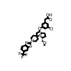 COC[C@H]1CCCN1C1(CCOc2cc(Cl)cc(CC(=O)O)c2)CCN(c2nc3ccc(C(F)(F)F)cc3s2)CC1